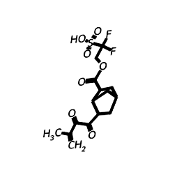 C=C(C)C(=O)C(=O)C1CC2CC(C(=O)OCC(F)(F)S(=O)(=O)O)C1C2